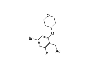 CC(=O)Cc1c(F)cc(Br)cc1OC1CCOCC1